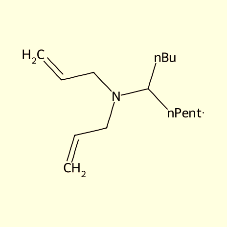 C=CCN(CC=C)C([CH]CCCC)CCCC